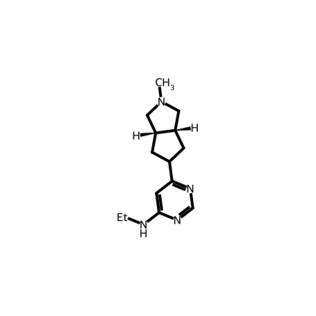 CCNc1cc(C2C[C@@H]3CN(C)C[C@@H]3C2)ncn1